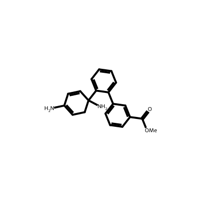 COC(=O)c1cccc(-c2ccccc2C2(N)C=CC(N)=CC2)c1